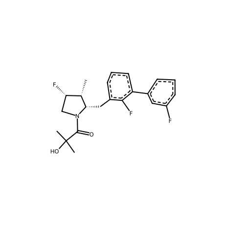 C[C@H]1[C@@H](F)CN(C(=O)C(C)(C)O)[C@H]1Cc1cccc(-c2cccc(F)c2)c1F